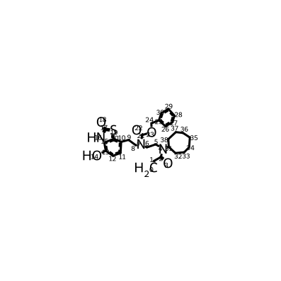 C=CC(=O)N(CCN(CCc1ccc(O)c2[nH]c(=O)sc12)C(=O)OCc1ccccc1)C1CCCCCCC1